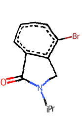 CC(C)N1Cc2c(Br)cccc2C1=O